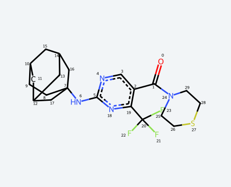 O=C(c1cnc(NC23CCC4CC(CC(C4)C2)C3)nc1C(F)(F)F)N1CCSCC1